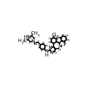 CC1CN(/N=C/c2ccc(Nc3ncc4c(n3)-c3ccc(Cl)cc3C(c3c(F)cccc3F)=NC4)cc2)CC(C)N1